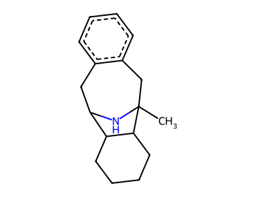 CC12Cc3ccccc3CC(N1)C1CCCCC12